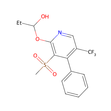 CCC(O)Oc1ncc(C(F)(F)F)c(-c2ccccc2)c1S(C)(=O)=O